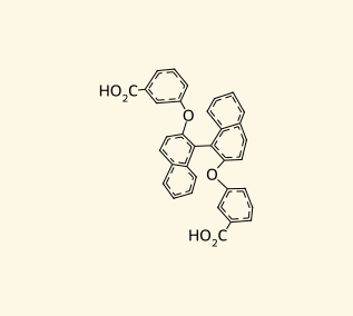 O=C(O)c1cccc(Oc2ccc3ccccc3c2-c2c(Oc3cccc(C(=O)O)c3)ccc3ccccc23)c1